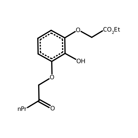 CCCC(=O)COc1cccc(OCC(=O)OCC)c1O